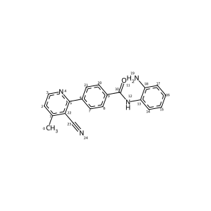 Cc1ccnc(-c2ccc(C(=O)Nc3ccccc3N)cc2)c1C#N